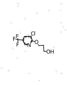 OCCCOc1ncc(C(F)(F)F)cc1Cl